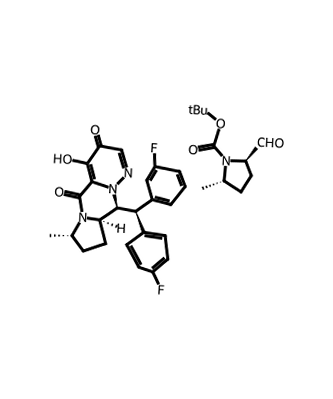 C[C@H]1CC[C@@H]2[C@H]([C@H](c3ccc(F)cc3)c3cccc(F)c3)n3ncc(=O)c(O)c3C(=O)N21.C[C@H]1CC[C@H](C=O)N1C(=O)OC(C)(C)C